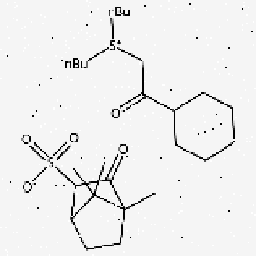 CC12CCC(C(S(=O)(=O)[O-])C1=O)C2(C)C.CCCC[S+](CCCC)CC(=O)C1CCCCC1